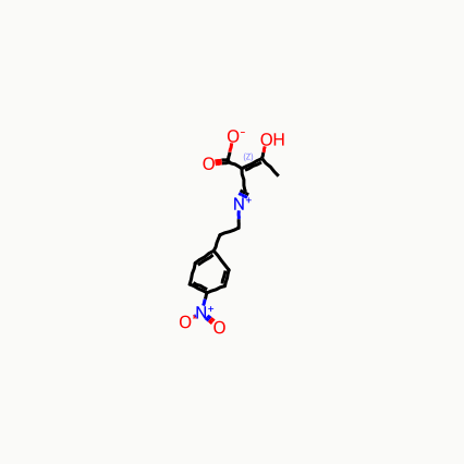 C/C(O)=C(\C#[N+]CCc1ccc([N+](=O)[O-])cc1)C(=O)[O-]